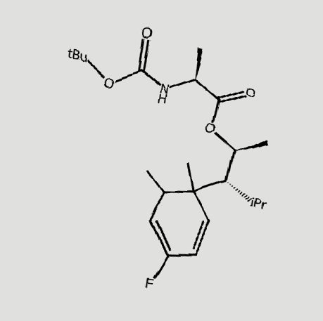 CC(C)[C@@H]([C@H](C)OC(=O)[C@H](C)NC(=O)OC(C)(C)C)C1(C)C=CC(F)=CC1C